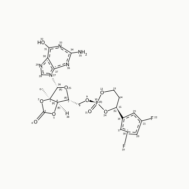 C[C@@]12OC(=O)O[C@@H]1[C@@H](CO[P@@]1(=O)OCC[C@@H](c3cc(F)cc(F)c3)O1)O[C@H]2n1cnc2c(O)nc(N)nc21